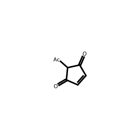 CC(=O)C1C(=O)C=CC1=O